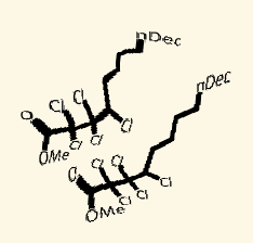 CCCCCCCCCCCCCCC(Cl)C(Cl)(Cl)C(Cl)(Cl)C(=O)OC.CCCCCCCCCCCCCCC(Cl)C(Cl)(Cl)C(Cl)(Cl)C(=O)OC